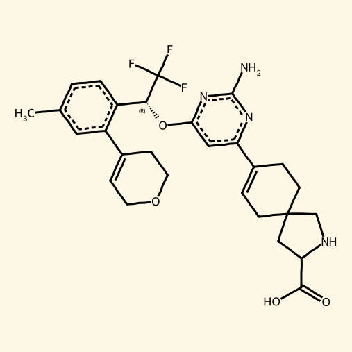 Cc1ccc([C@@H](Oc2cc(C3=CCC4(CC3)CNC(C(=O)O)C4)nc(N)n2)C(F)(F)F)c(C2=CCOCC2)c1